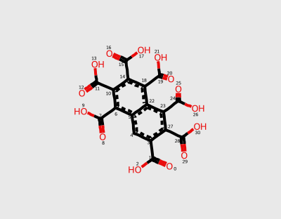 O=C(O)c1cc2c(C(=O)O)c(C(=O)O)c(C(=O)O)c(C(=O)O)c2c(C(=O)O)c1C(=O)O